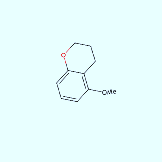 COc1cccc2c1CCCO2